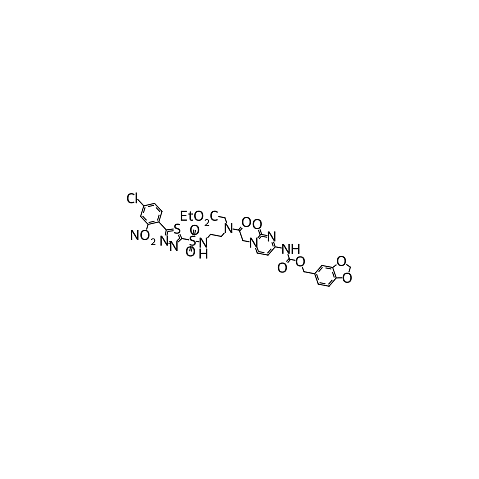 CCOC(=O)CN(CCNS(=O)(=O)c1nnc(-c2ccc(Cl)cc2[N+](=O)[O-])s1)C(=O)Cn1ccc(NC(=O)OCc2ccc3c(c2)OCO3)nc1=O